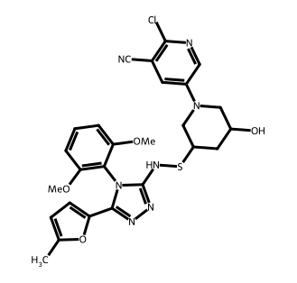 COc1cccc(OC)c1-n1c(NSC2CC(O)CN(c3cnc(Cl)c(C#N)c3)C2)nnc1-c1ccc(C)o1